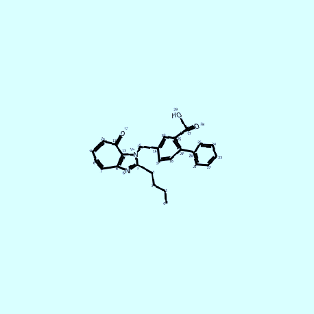 CCCCc1nc2ccccc(=O)c2n1Cc1ccc(-c2ccccc2)c(C(=O)O)c1